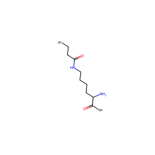 CC(C)CCC(=O)NCCCCC(N)C(=O)C(C)C